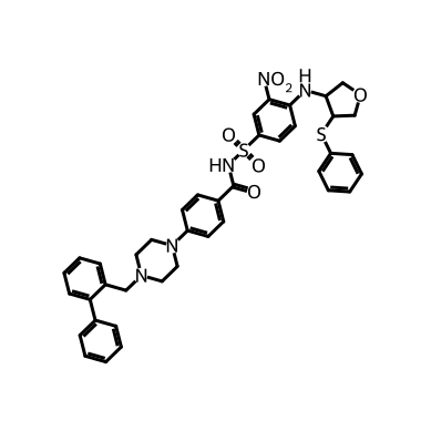 O=C(NS(=O)(=O)c1ccc(NC2COCC2Sc2ccccc2)c([N+](=O)[O-])c1)c1ccc(N2CCN(Cc3ccccc3-c3ccccc3)CC2)cc1